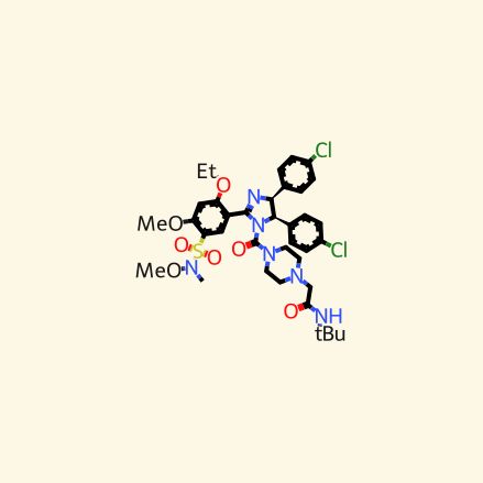 CCOc1cc(OC)c(S(=O)(=O)N(C)OC)cc1C1=N[C@@H](c2ccc(Cl)cc2)[C@@H](c2ccc(Cl)cc2)N1C(=O)N1CCN(CC(=O)NC(C)(C)C)CC1